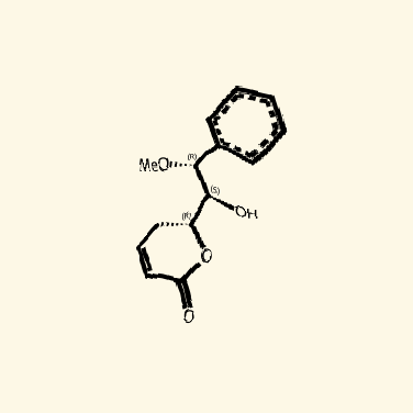 CO[C@H](c1ccccc1)[C@@H](O)[C@H]1CC=CC(=O)O1